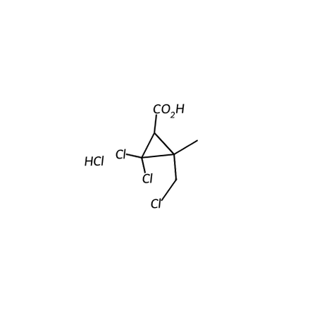 CC1(CCl)C(C(=O)O)C1(Cl)Cl.Cl